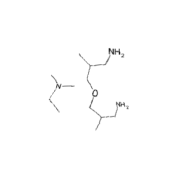 CC(CN)COCC(C)CN.CCN(C)C